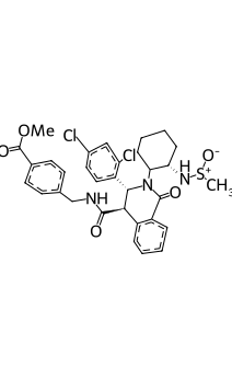 COC(=O)c1ccc(CNC(=O)[C@@H]2c3ccccc3C(=O)N(C3CCCC[C@@H]3N[S+](C)[O-])[C@H]2c2ccc(Cl)cc2Cl)cc1